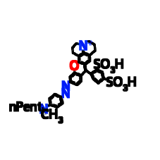 CCCCCN(C)c1ccc(/N=N/c2ccc3c(c2)Oc2c4c5c(cc2=C3c2ccc(S(=O)(=O)O)cc2S(=O)(=O)O)CCC[N+]=5CCC4)cc1